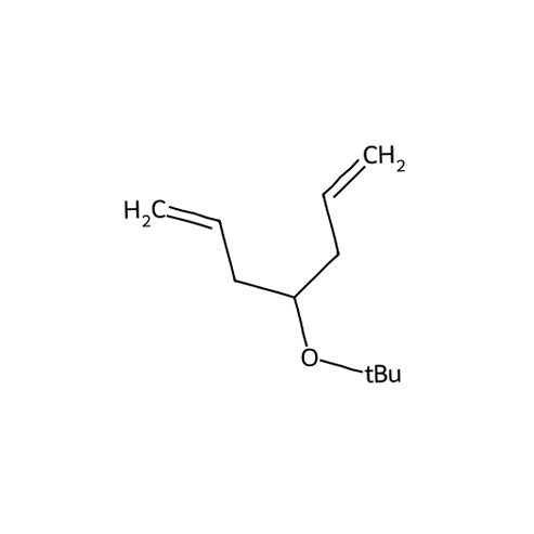 C=CCC(CC=C)OC(C)(C)C